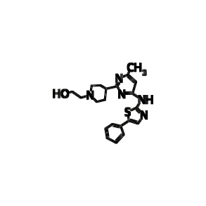 Cc1cc(Nc2ncc(-c3ccccc3)s2)nc(C2CCN(CCO)CC2)n1